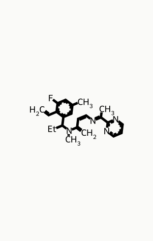 C=Cc1c(F)cc(C)cc1C(CC)N(C)C(=C)/C=C\N=C(/C)c1ncccn1